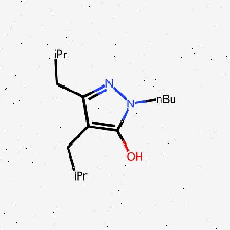 CCCCn1nc(CC(C)C)c(CC(C)C)c1O